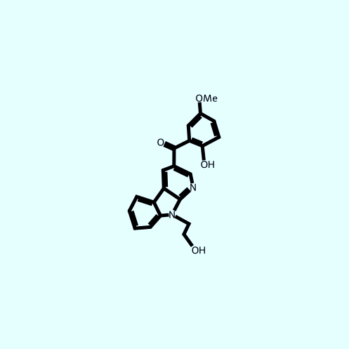 COc1ccc(O)c(C(=O)c2cnc3c(c2)c2ccccc2n3CCO)c1